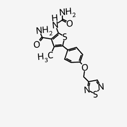 Cc1c(-c2ccc(OCc3cnsn3)cc2)sc(NC(N)=O)c1C(N)=O